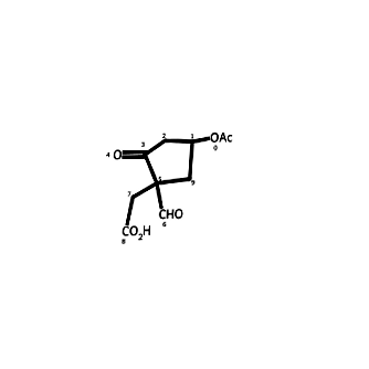 CC(=O)OC1CC(=O)C(C=O)(CC(=O)O)C1